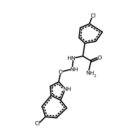 NC(=O)C(NNOc1cc2cc(Cl)ccc2[nH]1)c1ccc(Cl)cc1